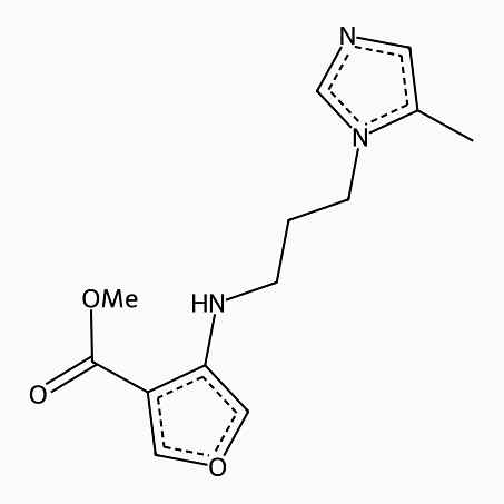 COC(=O)c1cocc1NCCCn1cncc1C